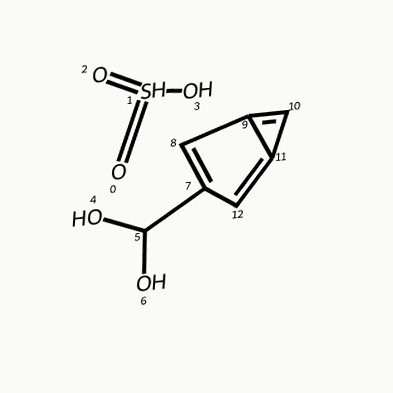 O=[SH](=O)O.OC(O)c1cc2cc-2c1